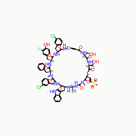 CC[C@@H]1NC(=O)N(C)C(=O)[C@H](/C=C/S(C)(=O)=O)CC(=O)[C@H]([C@@H](C)O)NC(=O)[C@H](CO)NC(=O)C=CCNC(=O)[C@H](Cc2cccc(Cl)c2)NC(=O)[C@H](Cc2ccc(O)c(F)c2)NC(=O)[C@H](Cc2ccccc2)N(C)C(=O)[C@H](Cc2cccc(Cl)c2)NC(=O)[C@H](Cc2c[nH]c3ccccc23)N1